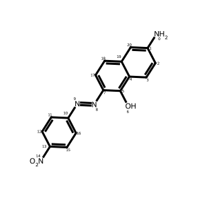 Nc1ccc2c(O)c(N=Nc3ccc([N+](=O)[O-])cc3)ccc2c1